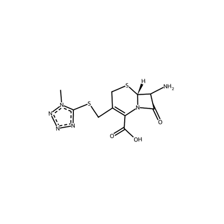 Cn1nnnc1SCC1=C(C(=O)O)N2C(=O)C(N)[C@H]2SC1